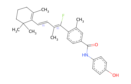 CC1=C(/C=C/C(C)=C(\F)c2ccc(C(=O)Nc3ccc(O)cc3)cc2C)C(C)(C)CCC1